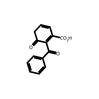 O=C(O)C1=C(C(=O)c2ccccc2)C(=O)CC=C1